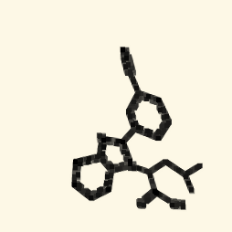 CC(C)CC(C(=O)O)n1c(-c2cccc(C#N)c2)nc2ccccc21